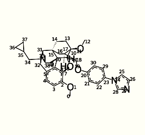 COc1ccc2c3c1O[C@H]1[C@@]4(OC)CC[C@@]5(C[C@@H]4COc4ccc(-n6ccnc6)cc4)C(C2)N(CC2CC2)CC[C@]315